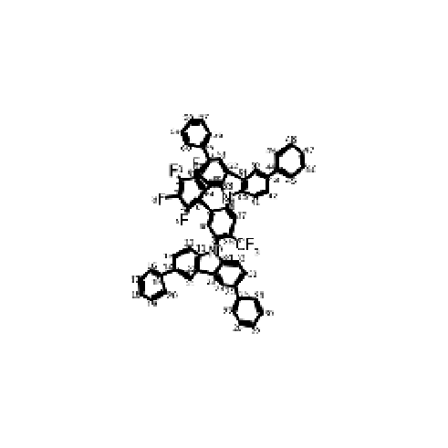 Fc1c(F)c(F)c(-c2cc(-n3c4ccc(-c5ccccc5)cc4c4cc(-c5ccccc5)ccc43)c(C(F)(F)F)cc2-n2c3ccc(-c4ccccc4)cc3c3cc(-c4ccccc4)ccc32)c(F)c1F